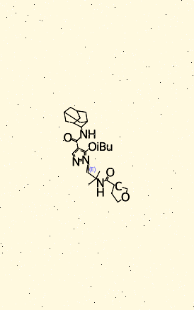 CC(C)COc1c(C(=O)NC2C3CC4CC(C3)CC2C4)cnn1/C=C/C(C)(C)NC(=O)C1CCOCC1